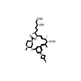 C/C(=C\c1cc(F)cc(N2CC(F)C2)c1)[C@@H](C=O)[C@@H](C)/C=C/[C@H](OC(=O)N1CCN(C)CC1)[C@@H](C)CC[C@@H](O)CC=O